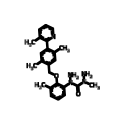 Cc1cc(-c2ncccc2C)c(C)cc1COc1c(C)cccc1N(N)C(=O)N(C)N